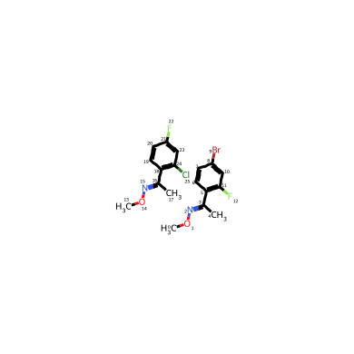 CO/N=C(\C)c1ccc(Br)cc1F.CO/N=C(\C)c1ccc(F)cc1Cl